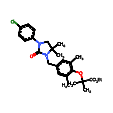 CCOC(=O)C(C)(C)Oc1c(C)cc(CN2C(=O)N(c3ccc(Cl)cc3)CC2(C)C)cc1C